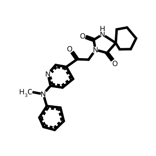 CN(c1ccccc1)c1ccc(C(=O)CN2C(=O)NC3(CCCCC3)C2=O)cn1